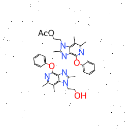 CC(=O)OCCn1c(C)nc2c(Oc3ccccc3)nc(C)c(C)c21.Cc1nc(Oc2ccccc2)c2nc(C)n(CCO)c2c1C